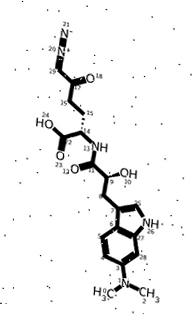 CN(C)c1ccc2c(C[C@H](O)C(=O)N[C@@H](CCC(=O)C=[N+]=[N-])C(=O)O)c[nH]c2c1